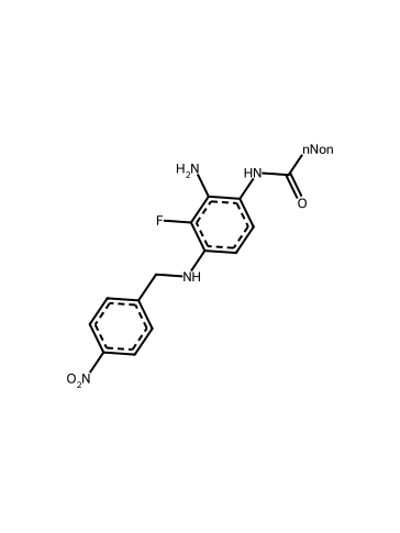 CCCCCCCCCC(=O)Nc1ccc(NCc2ccc([N+](=O)[O-])cc2)c(F)c1N